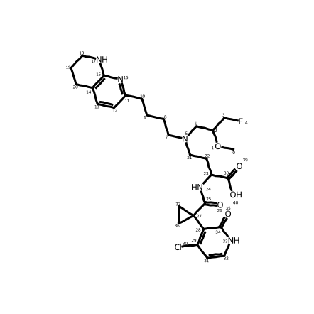 COC(CF)CN(CCCCc1ccc2c(n1)NCCC2)CCC(NC(=O)C1(c2c(Cl)cc[nH]c2=O)CC1)C(=O)O